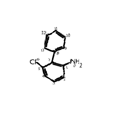 Nc1cccc(Cl)c1-c1ccccc1